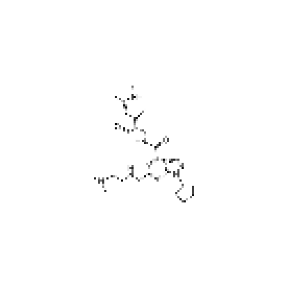 CN/C(C)=C\C(C)=C(/C=O)CNC(=O)c1cc(CNCCN(C)C)cc2c1cnn2C1CCCC1